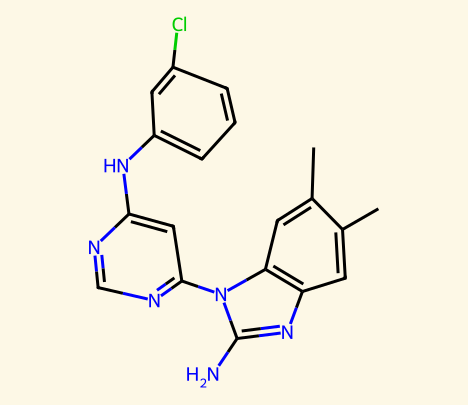 Cc1cc2nc(N)n(-c3cc(Nc4cccc(Cl)c4)ncn3)c2cc1C